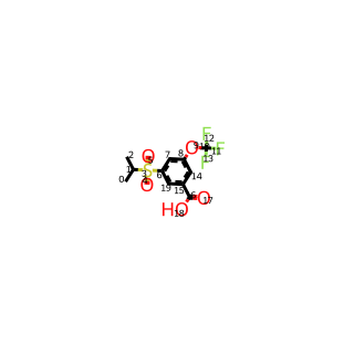 CC(C)S(=O)(=O)c1cc(OC(F)(F)F)cc(C(=O)O)c1